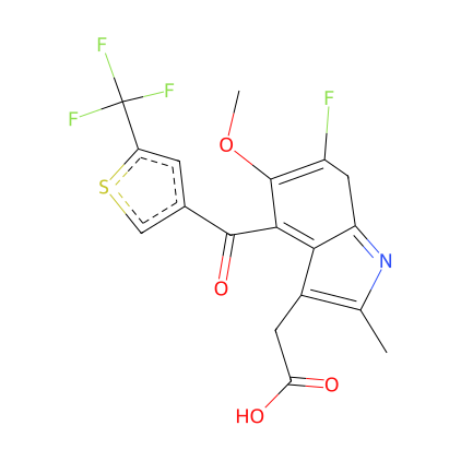 COC1=C(F)CC2=NC(C)=C(CC(=O)O)C2=C1C(=O)c1csc(C(F)(F)F)c1